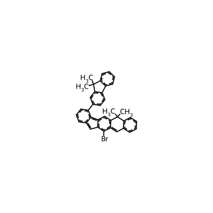 CC1(C)c2ccccc2-c2ccc(-c3cccc4c3=c3cc5c(c(Br)c3C=4)=Cc3ccccc3C5(C)C)cc21